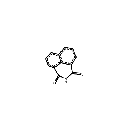 O=C1NC(=S)c2cccc3cccc1c23